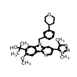 COc1cc2c3ncc(-c4c(C)nnn4C)cc3n(Cc3cccc(C4CCOCC4)c3)c2cc1C(C)(C)O